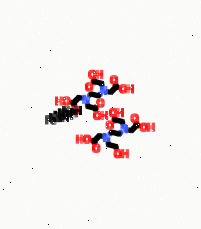 O=C(O)CN(CCN(CC(=O)O)CC(=O)O)CC(=O)O.O=C(O)CN(CCO)CCN(CC(=O)O)CC(=O)O.[Fe].[NaH].[NaH].[NaH].[NaH]